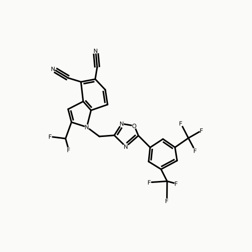 N#Cc1ccc2c(cc(C(F)F)n2Cc2noc(-c3cc(C(F)(F)F)cc(C(F)(F)F)c3)n2)c1C#N